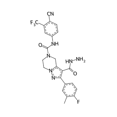 Cc1cc(-c2nn3c(c2C(=O)NN)CN(C(=O)Nc2ccc(C#N)c(C(F)(F)F)c2)CC3)ccc1F